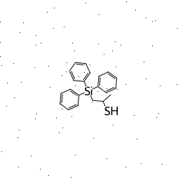 CC(S)C[Si](c1ccccc1)(c1ccccc1)c1ccccc1